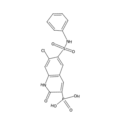 O=c1[nH]c2cc(Cl)c(S(=O)(=O)Nc3ccccc3)cc2cc1P(=O)(O)O